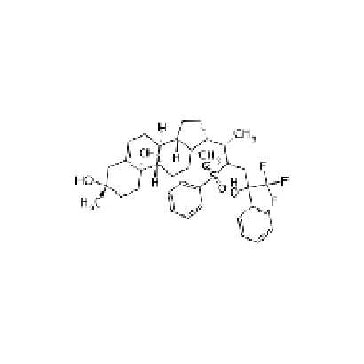 C[C@H](C(CC(O)(c1ccccc1)C(F)(F)F)S(=O)(=O)c1ccccc1)[C@H]1CC[C@H]2[C@@H]3CC=C4C[C@@](C)(O)CC[C@]4(C)[C@H]3CC[C@]12C